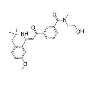 COc1ccc2c(c1)C(=CC(=O)c1cccc(C(=O)N(C)CCO)c1)NC(C)(C)C2